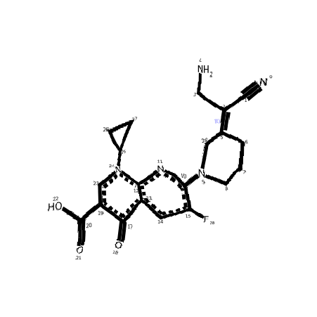 N#C/C(CN)=C1\CCCN(c2nc3c(cc2F)c(=O)c(C(=O)O)cn3C2CC2)C1